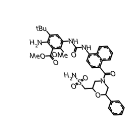 COC(=O)c1c(N)c(C(C)(C)C)cc(NC(=O)Nc2ccc(C(=O)N3CC(CS(N)(=O)=O)OC(c4ccccc4)C3)c3ccccc23)c1OC